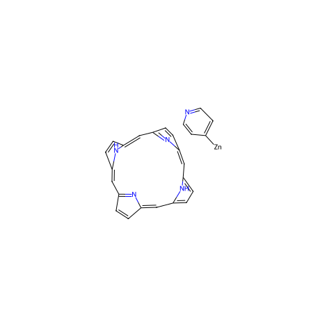 C1=Cc2cc3ccc(cc4nc(cc5ccc(cc1n2)[nH]5)C=C4)[nH]3.[Zn][c]1ccncc1